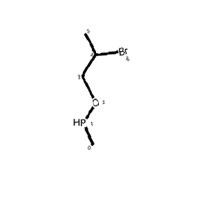 CPOCC(C)Br